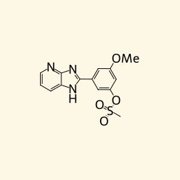 COc1cc(OS(C)(=O)=O)cc(-c2nc3ncccc3[nH]2)c1